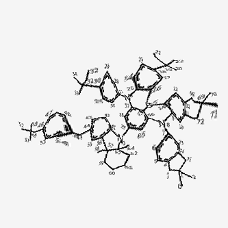 CC1(C)Cc2ccc(N3c4cc5c(cc4B4c6cc(C(C)(C)C)ccc6N(c6ccc(C(C)(C)C)cc6)c6cc(N7c8ccc(-c9ccc(C(C)(C)C)cc9)cc8C8(C)CCCCC78C)cc3c64)CC(C)(C)C5)cc2C1